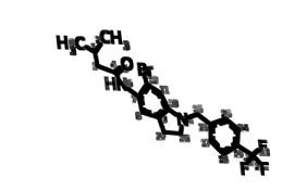 CC(C)CC(=O)Nc1cc2c(cc1Br)N(Cc1ccc(C(F)(F)F)cc1)CC2